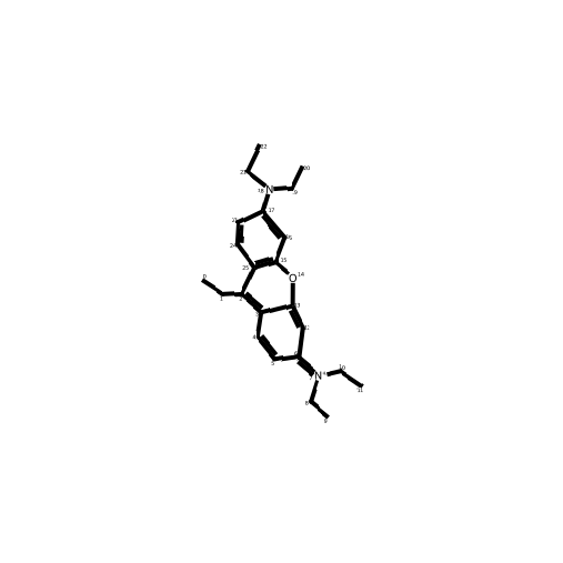 CCc1c2ccc(=[N+](CC)CC)cc-2oc2cc(N(CC)CC)ccc12